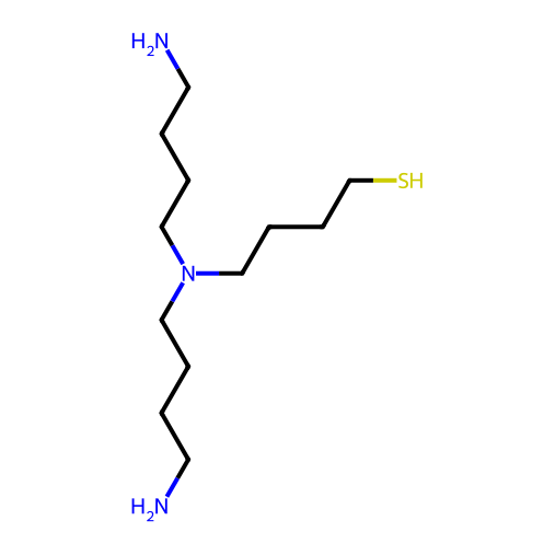 NCCCCN(CCCCN)CCCCS